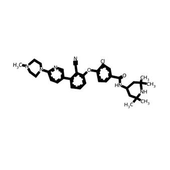 CN1CCN(c2ccc(-c3cccc(Oc4ccc(C(=O)NC5CC(C)(C)NC(C)(C)C5)cc4Cl)c3C#N)cn2)CC1